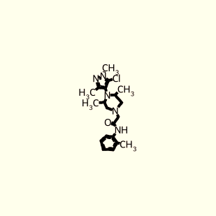 Cc1ccccc1NC(=O)CN1CC(C)N(c2c(C)nn(C)c2Cl)C(C)C1